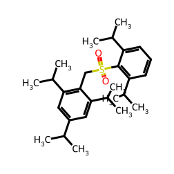 CC(C)c1cc(C(C)C)c(CS(=O)(=O)c2c(C(C)C)cccc2C(C)C)c(C(C)C)c1